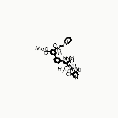 COC(=O)c1cc(C(=O)NCCN2CCCCC2)cc(-c2cccc(-c3cc(C(C)NC(=O)Nc4c(Cl)cncc4Cl)c(=O)[nH]n3)c2)c1